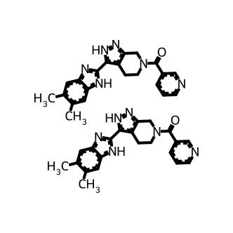 Cc1cc2nc(-c3[nH]nc4c3CCN(C(=O)c3cccnc3)C4)[nH]c2cc1C.Cc1cc2nc(-c3[nH]nc4c3CCN(C(=O)c3cccnc3)C4)[nH]c2cc1C